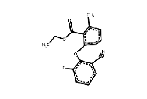 CCOC(=O)c1c(C)cccc1Oc1c(F)cccc1C#N